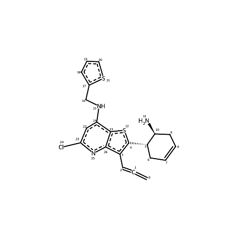 C=C=Cc1c([C@H]2CC=CC[C@@H]2N)sc2c(NCc3cccs3)cc(Cl)nc12